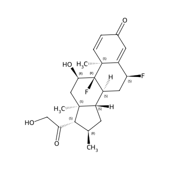 C[C@@H]1C[C@H]2[C@@H]3C[C@H](F)C4=CC(=O)C=C[C@]4(C)[C@@]3(F)[C@H](O)C[C@]2(C)[C@H]1C(=O)CO